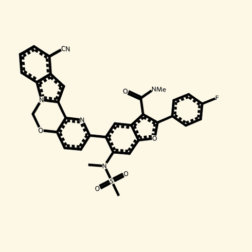 CNC(=O)c1c(-c2ccc(F)cc2)oc2cc(N(C)S(C)(=O)=O)c(-c3ccc4c(n3)-c3cc5c(C#N)cccc5n3CO4)cc12